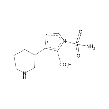 NS(=O)(=O)n1ccc(C2CCCNC2)c1C(=O)O